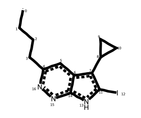 [CH2]CCCc1cc2c(C3CC3)c(I)[nH]c2nn1